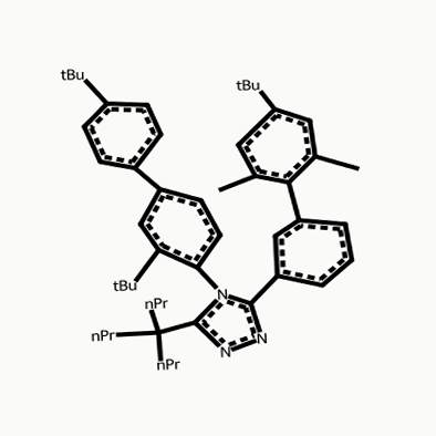 CCCC(CCC)(CCC)c1nnc(-c2cccc(-c3c(C)cc(C(C)(C)C)cc3C)c2)n1-c1ccc(-c2ccc(C(C)(C)C)cc2)cc1C(C)(C)C